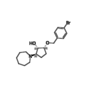 O[C@H]1[C@H](N2CCCCCC2)CC[C@H]1OCc1ccc(Br)cc1